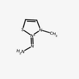 CN1C=CS[N+]1=NN